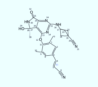 Cc1cc(/C=C/C#N)cc(C)c1Oc1nc(NC23CC(C#N)(C2)C3)nc2c1[C@@](C)(O)NC2=O